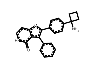 NC1(c2ccc(-c3oc4cc[nH]c(=O)c4c3-c3ccccc3)cc2)CCC1